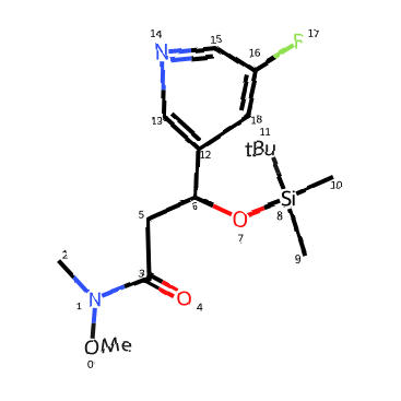 CON(C)C(=O)CC(O[Si](C)(C)C(C)(C)C)c1cncc(F)c1